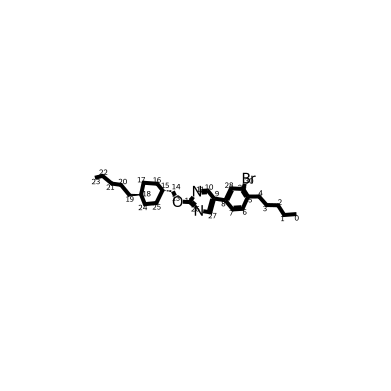 CCCCCc1ccc(-c2cnc(OC[C@H]3CC[C@H](CCCCC)CC3)nc2)cc1Br